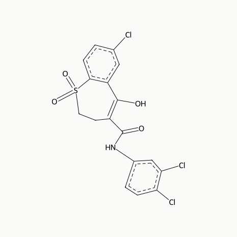 O=C(Nc1ccc(Cl)c(Cl)c1)C1=C(O)c2cc(Cl)ccc2S(=O)(=O)CC1